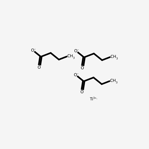 CCCC(=O)[O-].CCCC(=O)[O-].CCCC(=O)[O-].[Ti+3]